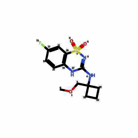 COCC1(NC2=NS(=O)(=O)c3cc(F)ccc3N2)CCC1